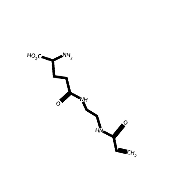 C=CC(=O)NCCNC(=O)CCC(N)C(=O)O